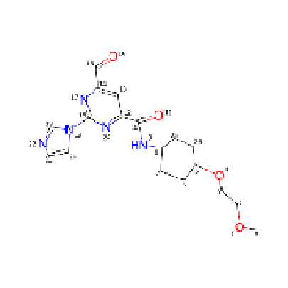 COCCOC1CCC(NC(=O)c2cc(C=O)nc(-n3ccnc3)n2)CC1